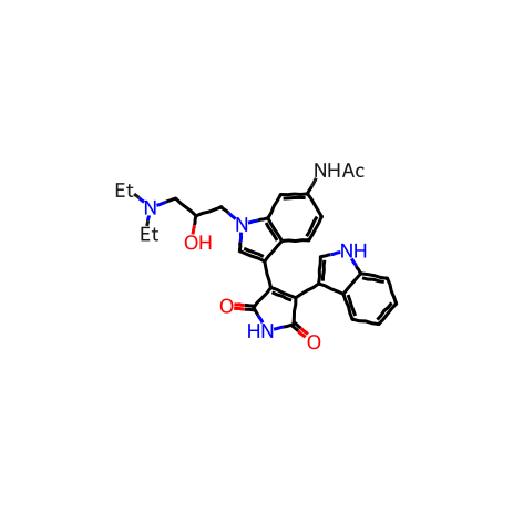 CCN(CC)CC(O)Cn1cc(C2=C(c3c[nH]c4ccccc34)C(=O)NC2=O)c2ccc(NC(C)=O)cc21